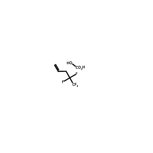 C=CCC(F)(F)C(F)(F)F.O=C(O)O